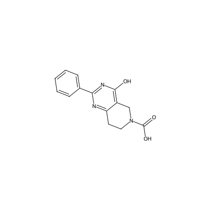 O=C(O)N1CCc2nc(-c3ccccc3)nc(O)c2C1